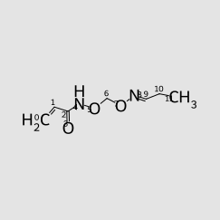 C=CC(=O)NOCO/N=C/CC